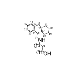 O=C(O)CC(=O)NCCc1ccccc1CC1CCCCC1